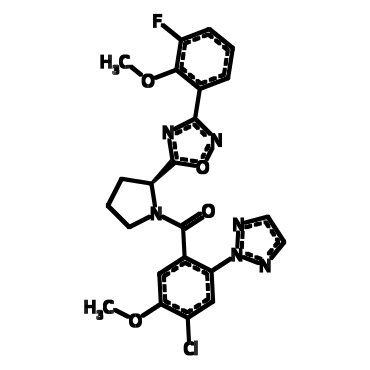 COc1cc(C(=O)N2CCC[C@H]2c2nc(-c3cccc(F)c3OC)no2)c(-n2nccn2)cc1Cl